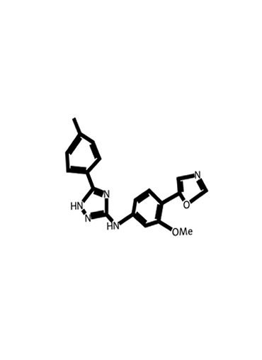 COc1cc(Nc2n[nH]c(-c3ccc(C)cc3)n2)ccc1-c1cnco1